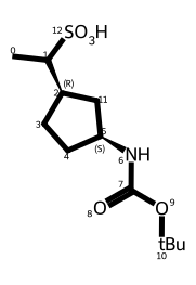 CC([C@@H]1CC[C@H](NC(=O)OC(C)(C)C)C1)S(=O)(=O)O